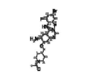 CC(=O)N1CCC(COc2cc3ncnc(Nc4c(F)cc(Br)cc4F)c3cc2N)CC1